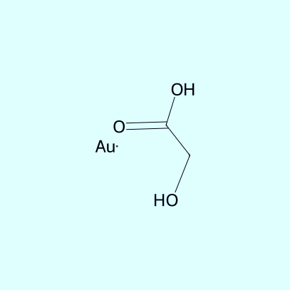 O=C(O)CO.[Au]